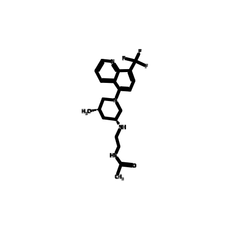 CC(=O)NCCN[C@@H]1C[C@H](C)CN(c2ccc(C(F)(F)F)c3ncccc23)C1